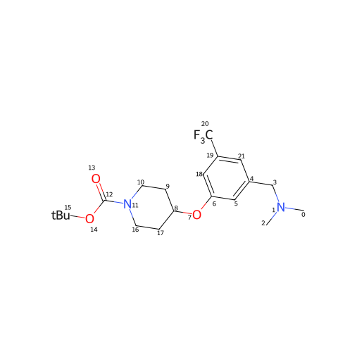 CN(C)Cc1cc(OC2CCN(C(=O)OC(C)(C)C)CC2)cc(C(F)(F)F)c1